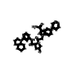 NC(=O)c1nn(CC(=O)N2CC(F)CC2C(=O)Nc2ccnc(N3CCCC4CCCCC43)c2)c2ccc(-c3ccnnc3)cc12